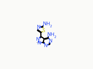 Nc1ncc(C2=N[N]c3ncnc(N)c32)s1